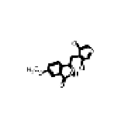 COc1ccc2c(Cc3c(Cl)cncc3Cl)n[nH]c(=O)c2c1